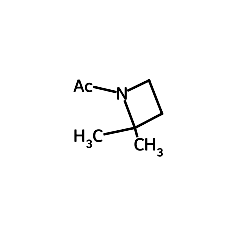 CC(=O)N1CCC1(C)C